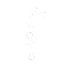 CC(C)(C)OC(=O)N1CCCCC(NCc2ccc(NC(=O)OCc3ccccc3)cc2F)C1